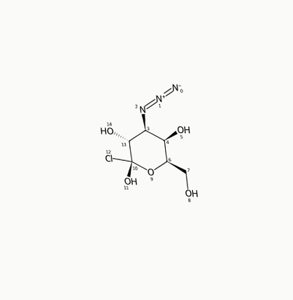 [N-]=[N+]=N[C@H]1[C@@H](O)[C@@H](CO)O[C@](O)(Cl)[C@@H]1O